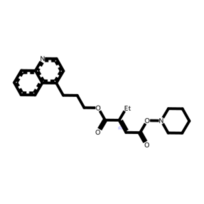 CC/C(=C\C(=O)ON1CCCCC1)C(=O)OCCCc1ccnc2ccccc12